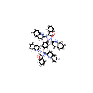 c1ccc2nc(N3B(c4ccc(B5N(c6ccc7ccccc7n6)c6oc7ccccc7c6N5c5ccc6ccccc6n5)cc4)N(c4ccc5ccccc5n4)c4c3oc3ccccc43)ccc2c1